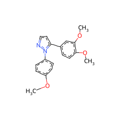 COc1ccc(-n2nccc2-c2ccc(OC)c(OC)c2)cc1